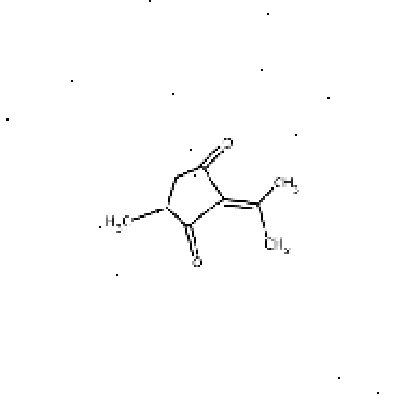 CC(C)=C1C(=O)CC(C)C1=O